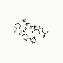 O=C(N[C@@H]1C[C@@H](O)C[C@H](n2c(-c3ccccc3F)nc3cnc(-n4nccn4)cc32)C1)c1ncc(C(F)F)s1